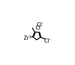 CC1=CC(C)=[C]([Zr+3])C1.[Cl-].[Cl-].[Cl-]